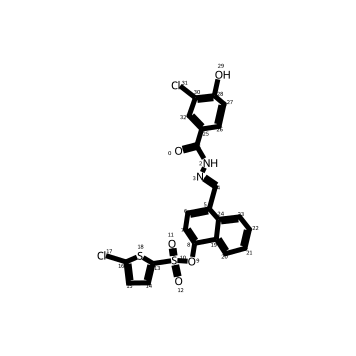 O=C(N/N=C/c1ccc(OS(=O)(=O)c2ccc(Cl)s2)c2ccccc12)c1ccc(O)c(Cl)c1